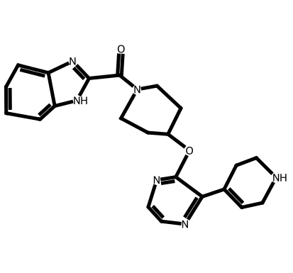 O=C(c1nc2ccccc2[nH]1)N1CCC(Oc2nccnc2C2=CCNCC2)CC1